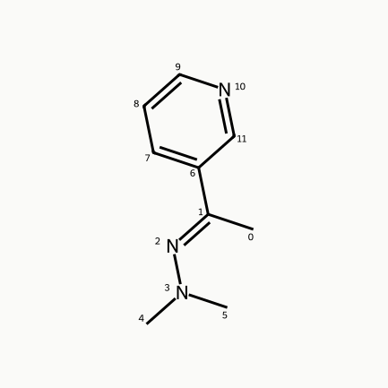 C/C(=N\N(C)C)c1cccnc1